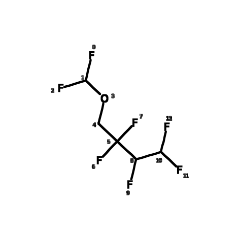 FC(F)OCC(F)(F)C(F)C(F)F